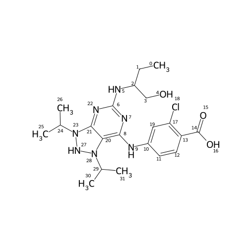 CCC(CO)Nc1nc(Nc2ccc(C(=O)O)c(Cl)c2)c2c(n1)N(C(C)C)NN2C(C)C